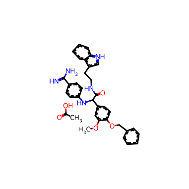 CC(=O)O.COc1cc(C(Nc2ccc(C(=N)N)cc2)C(=O)NCCc2c[nH]c3ccccc23)ccc1OCc1ccccc1